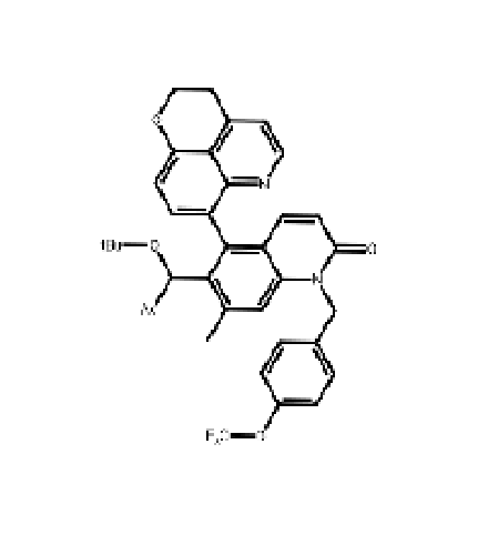 CC(=O)C(OC(C)(C)C)c1c(C)cc2c(ccc(=O)n2Cc2ccc(OC(F)(F)F)cc2)c1-c1ccc2c3c(ccnc13)CCO2